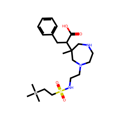 CC1(C(Cc2ccccc2)C(=O)O)CNCCN(CCNS(=O)(=O)CC[Si](C)(C)C)C1